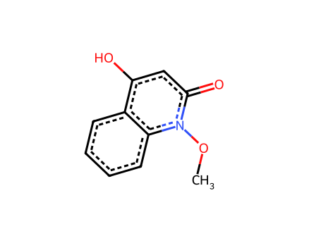 COn1c(=O)cc(O)c2ccccc21